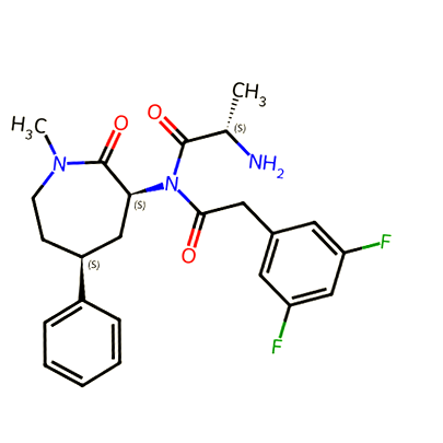 C[C@H](N)C(=O)N(C(=O)Cc1cc(F)cc(F)c1)[C@H]1C[C@@H](c2ccccc2)CCN(C)C1=O